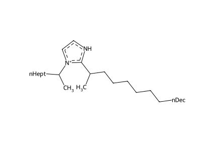 CCCCCCCCCCCCCCCCC(C)c1[nH]cc[n+]1C(C)CCCCCCC